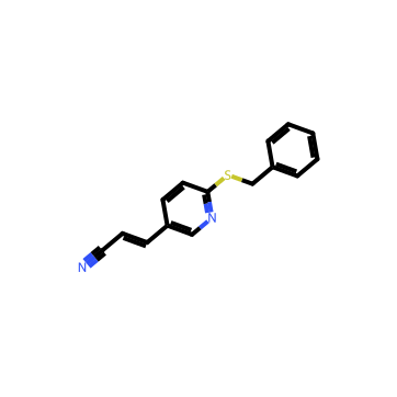 N#CC=Cc1ccc(SCc2ccccc2)nc1